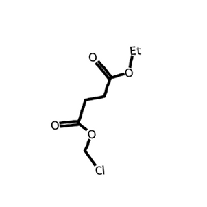 CCOC(=O)CCC(=O)OCCl